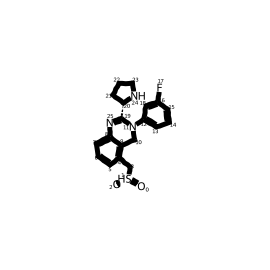 O=[SH](=O)Cc1cccc2c1CN(c1cccc(F)c1)C([C@@H]1CCCN1)=N2